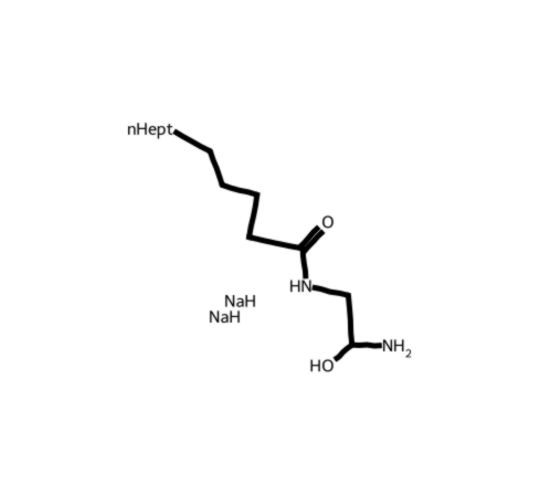 CCCCCCCCCCCC(=O)NCC(N)O.[NaH].[NaH]